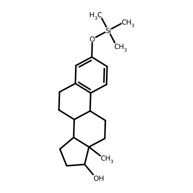 CC12CCC3c4ccc(O[Si](C)(C)C)cc4CCC3C1CCC2O